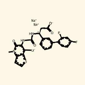 Cn1c(=O)c(NC(=O)N[C@@H](CC(=O)[O-])c2cccc(-c3ccc(F)cc3F)c2)c([O-])c2sccc21.[Na+].[Na+]